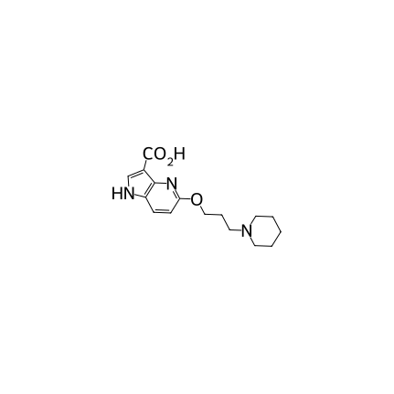 O=C(O)c1c[nH]c2ccc(OCCCN3CCCCC3)nc12